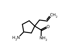 C=CCC1(C(N)=O)CCC(N)C1